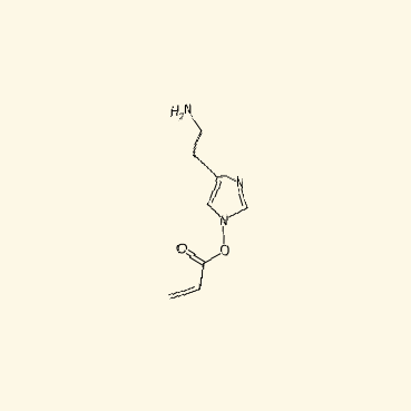 C=CC(=O)On1cnc(CCN)c1